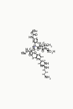 CC(C)(C)OC(=O)Nc1nc(/C(=N/OC(C)(C(=O)OC(C)(C)C)C2CCc3cc(C4=CN=C(NCCCN)NC4)ccc3O2)C(=O)NC2C(=O)N(OS(=O)(=O)O)C2(C)C)cs1